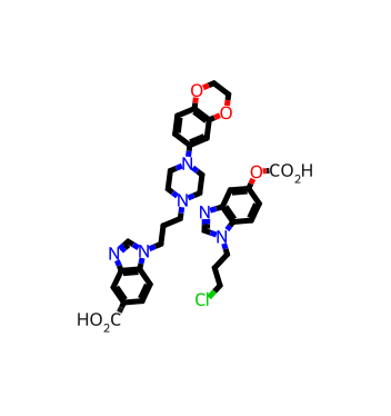 O=C(O)Oc1ccc2c(c1)ncn2CCCCl.O=C(O)c1ccc2c(c1)ncn2CCCN1CCN(c2ccc3c(c2)OCCO3)CC1